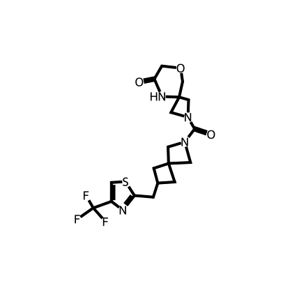 O=C1COCC2(CN(C(=O)N3CC4(CC(Cc5nc(C(F)(F)F)cs5)C4)C3)C2)N1